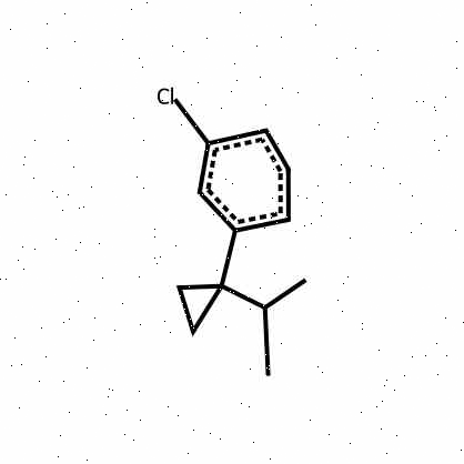 CC(C)C1(c2cccc(Cl)c2)CC1